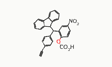 C#Cc1ccc(C(c2cc([N+](=O)[O-])ccc2OC(=O)O)C2c3ccccc3-c3ccccc32)cc1